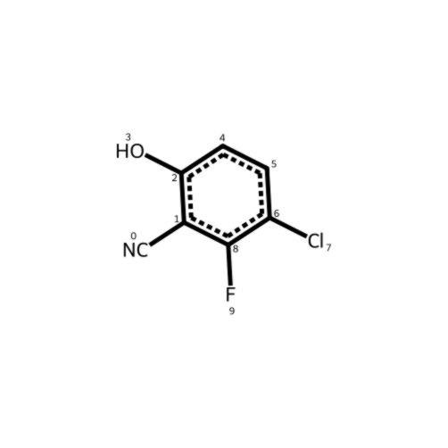 N#Cc1c(O)ccc(Cl)c1F